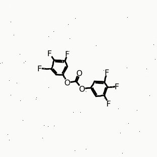 O=C(Oc1cc(F)c(F)c(F)c1)Oc1cc(F)c(F)c(F)c1